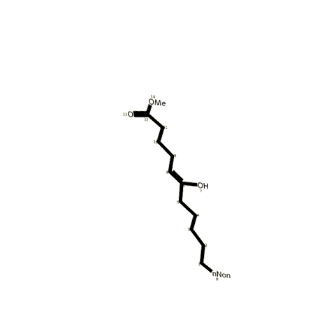 CCCCCCCCCCCCCCC(O)=CCCCC(=O)OC